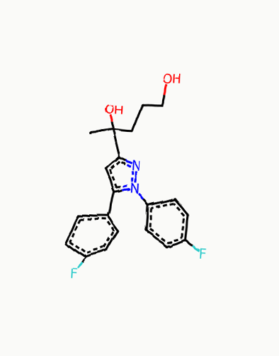 CC(O)(CCCO)c1cc(-c2ccc(F)cc2)n(-c2ccc(F)cc2)n1